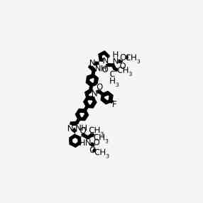 COC(=O)NC(C(=O)[C@@H]1CCCC[C@@H]1c1ncc(-c2ccc(-c3ccc4c(c3)cc3n4C(c4ccc(F)cc4)Oc4cc(-c5cnc([C@@H]6CCCN6C(=O)[C@@H](NC(=O)OC)C(C)C)[nH]5)ccc4-3)cc2)[nH]1)C(C)C